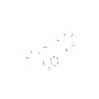 C=C(CC)C(=O)c1ccc(OCC(=O)OC(C)C(=O)OC(C)C(=O)OC(C)C(=O)OC(C)C(=O)OC(C)C(=O)OC(C)C(=O)OC(C)C(=O)OC(C)C(=O)OCC)c(Cl)c1Cl